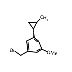 COc1cc(CBr)cc([C@H]2CC2C)c1